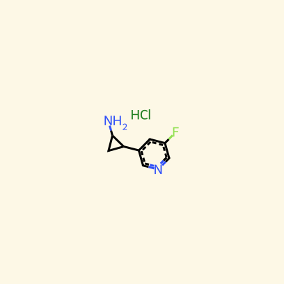 Cl.NC1CC1c1cncc(F)c1